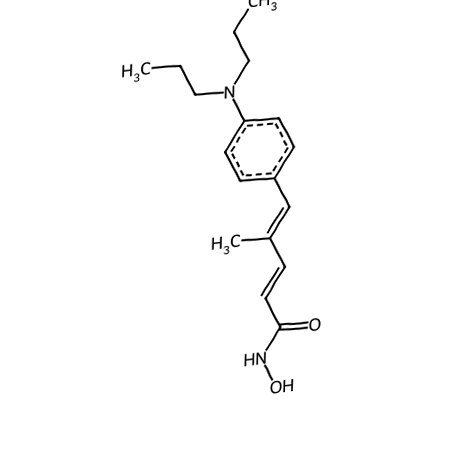 CCCN(CCC)c1ccc(/C=C(C)/C=C/C(=O)NO)cc1